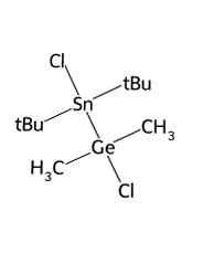 C[C](C)(C)[Sn]([Cl])([C](C)(C)C)[Ge]([CH3])([CH3])[Cl]